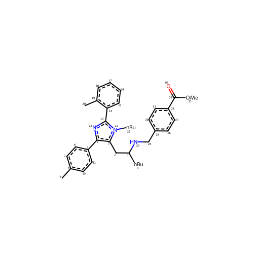 CCCCC(Cc1c(-c2ccc(C)cc2)nc(-c2ccccc2C)n1CCCC)NCc1ccc(C(=O)OC)cc1